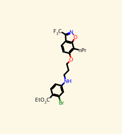 CCCc1c(OCCCNc2ccc(C(=O)OCC)c(Br)c2)ccc2c(C(F)(F)F)noc12